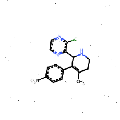 CC1=C(c2ccc([N+](=O)[O-])cc2)C(c2nccnc2Cl)NCC1